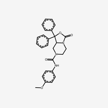 COc1ccc(NC(=O)N2CCN3C(=O)OC(c4ccccc4)(c4ccccc4)C3C2)cc1